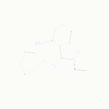 CCN1CC2CC=CC3=C2C1=Nc1cc(Cl)ccc1N3